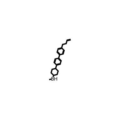 C=CCCc1ccc(-c2ccc(C3CCC(BC)CC3)cc2)cc1